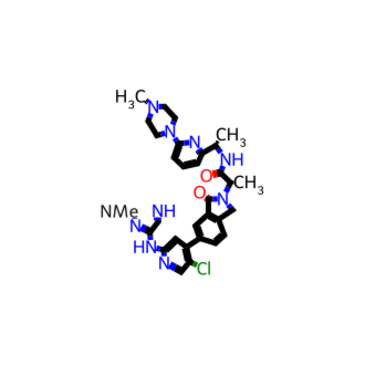 CN/N=C(\C=N)Nc1cc(-c2ccc3c(c2)C(=O)N([C@H](C)C(=O)N[C@H](C)c2cccc(N4CCN(C)CC4)n2)C3)c(Cl)cn1